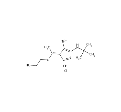 CC(OCCO)=C1C=CC(NC(C)(C)C)=[C]1[Ti+2].[Cl-].[Cl-]